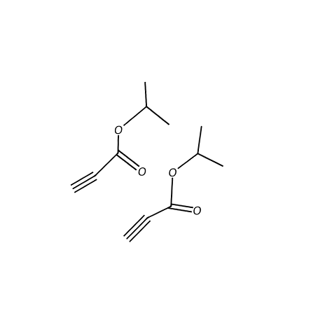 C#CC(=O)OC(C)C.C#CC(=O)OC(C)C